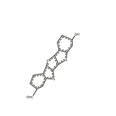 O=Cc1ccc2c(c1)sc1c2sc2c3ccc(O)cc3sc21